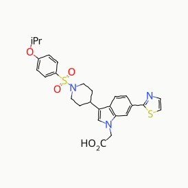 CC(C)Oc1ccc(S(=O)(=O)N2CCC(c3cn(CC(=O)O)c4cc(-c5nccs5)ccc34)CC2)cc1